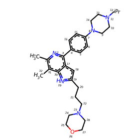 Cc1nc(-c2ccc(N3CCN(C(C)C)CC3)cc2)c2cc(CCCN3CCOCC3)[nH]c2c1C